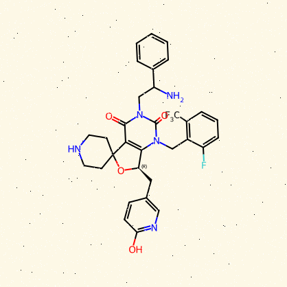 NC(Cn1c(=O)c2c(n(Cc3c(F)cccc3C(F)(F)F)c1=O)[C@@H](Cc1ccc(O)nc1)OC21CCNCC1)c1ccccc1